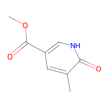 COC(=O)c1c[nH]c(=O)c(C)c1